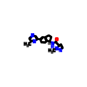 Cc1cncc(-c2ccc3c(c2)CC[C@H]3NC(=O)c2ccnn2C)n1